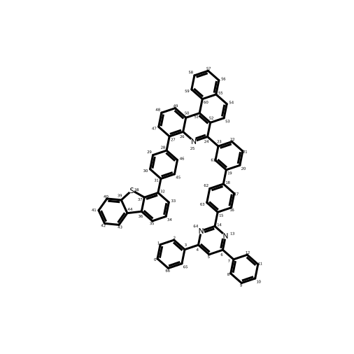 c1ccc(-c2cc(-c3ccccc3)nc(-c3ccc(-c4cccc(-c5nc6c(-c7ccc(-c8cccc9c8sc8ccccc89)cc7)cccc6c6c5ccc5ccccc56)c4)cc3)n2)cc1